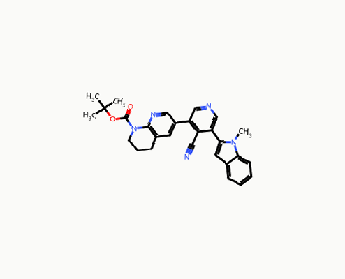 Cn1c(-c2cncc(-c3cnc4c(c3)CCCN4C(=O)OC(C)(C)C)c2C#N)cc2ccccc21